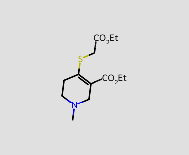 CCOC(=O)CSC1=C(C(=O)OCC)CN(C)CC1